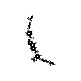 C=CC(=O)OCCCCOc1ccc(C(=O)Oc2ccc3c(c2)C(C)c2cc(C(=O)Oc4ccc(OCCCCOC(=O)C=C)c5c4OC(F)(F)O5)ccc2-3)cc1